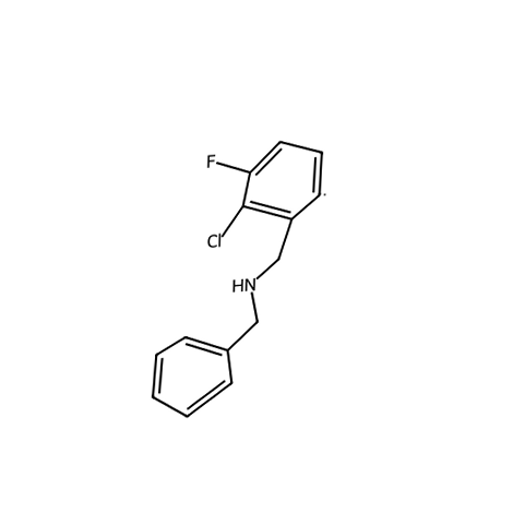 Fc1cc[c]c(CNCc2ccccc2)c1Cl